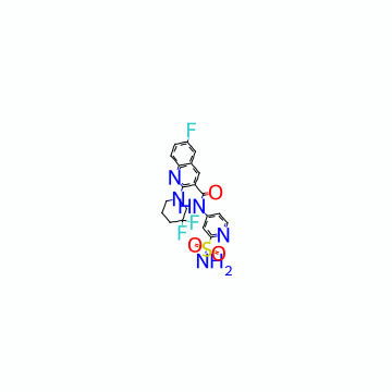 NS(=O)(=O)c1cc(NC(=O)c2cc3cc(F)ccc3nc2N2CCCC(F)(F)C2)ccn1